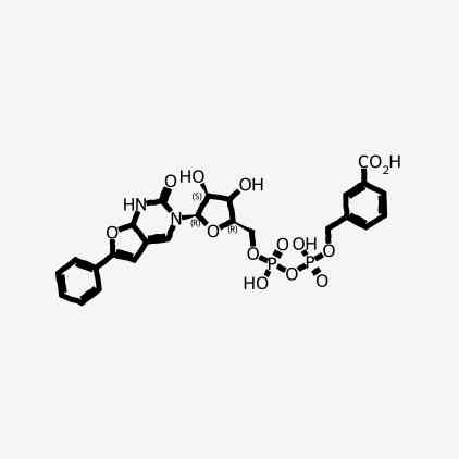 O=C(O)c1cccc(COP(=O)(O)OP(=O)(O)OC[C@H]2O[C@@H](N3C=C4C=C(c5ccccc5)OC4NC3=O)[C@@H](O)C2O)c1